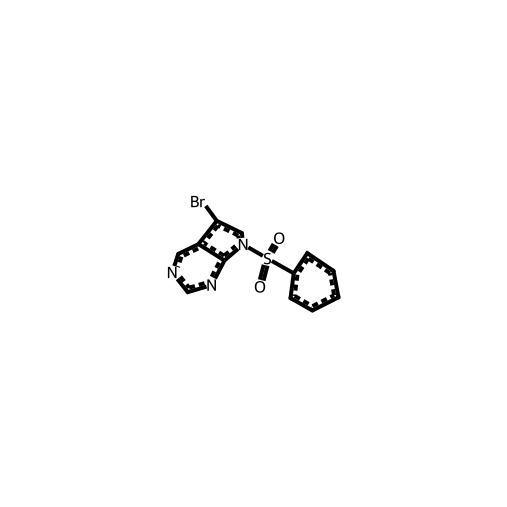 O=S(=O)(c1ccccc1)n1cc(Br)c2cncnc21